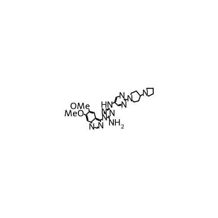 COc1cc2ncnc(-n3nc(Nc4cnc(N5CCC(N6CCCC6)CC5)nc4)nc3N)c2cc1OC